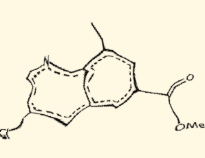 COC(=O)c1cc(C)c2ncc(Cl)cc2c1